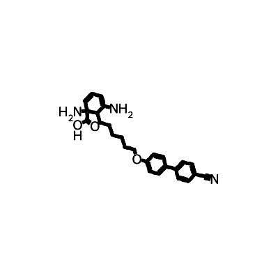 N#Cc1ccc(-c2ccc(OCCCCCCC3C(N)=CC=CC3(N)C(=O)O)cc2)cc1